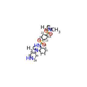 CN(c1ccccc1NS(=O)(=O)c1ccc(S(=O)(=O)N(C)C)cc1)C1CCNCC1